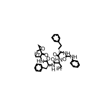 CC(C)CC(NC(=O)[C@H](CCc1ccccc1)NC(=O)Nc1ccccc1)C(=O)N[C@@H](Cc1ccccc1)C(=O)NC(CC(C)C)C(=O)C1(C)CO1